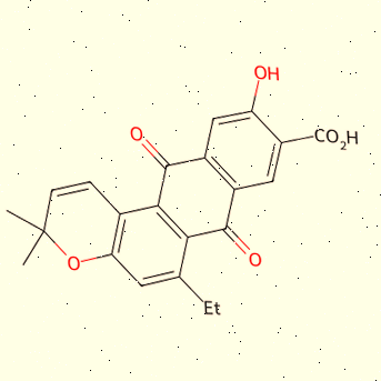 CCc1cc2c(c3c1C(=O)c1cc(C(=O)O)c(O)cc1C3=O)C=CC(C)(C)O2